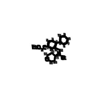 CCOC(=O)c1ccc(-c2ccccc2)c(CN(CC)C2CCOCC2)c1